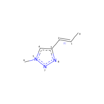 C/C=C/c1cn(C)nn1